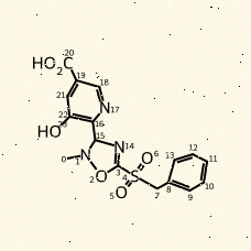 CN1OC(S(=O)(=O)Cc2ccccc2)=NC1c1ncc(C(=O)O)cc1O